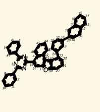 c1ccc(-c2nc(-c3ccccc3)nc(-c3cc4oc5cccc(-c6cccc(-c7ccc8ccccc8c7)c6)c5c4c4ccccc34)n2)cc1